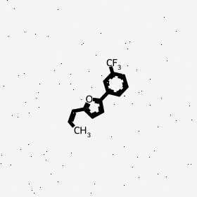 C/C=C\c1ccc(-c2cccc(C(F)(F)F)c2)o1